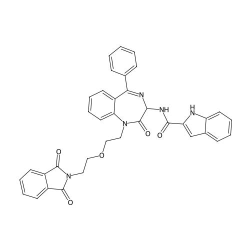 O=C(NC1N=C(c2ccccc2)c2ccccc2N(CCOCCN2C(=O)c3ccccc3C2=O)C1=O)c1cc2ccccc2[nH]1